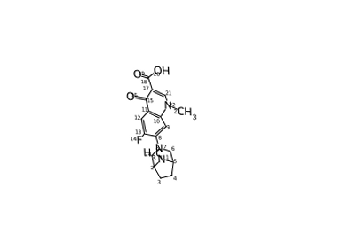 CN1C2CCC1CN(c1cc3c(cc1F)c(=O)c(C(=O)O)cn3C)C2